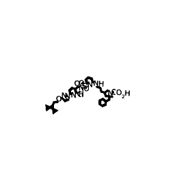 CC1(Cc2ccccc2)CC(CCCNc2cccc(S(=O)(=O)NC(=O)c3ccc(-n4ccc(OCCC5C6(CC6)C56CC6)n4)nc3Cl)n2)CN1C(=O)O